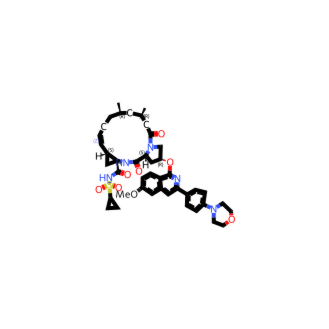 COc1ccc2c(O[C@@H]3C[C@H]4C(=O)N[C@]5(C(=O)NS(=O)(=O)C6CC6)C[C@H]5/C=C\CC[C@@H](C)C[C@@H](C)CC(=O)N4C3)nc(-c3ccc(N4CCOCC4)cc3)cc2c1